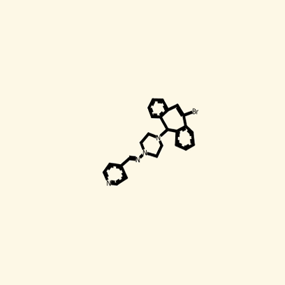 BrC1=Cc2ccccc2C(N2CCN(N=Cc3ccncc3)CC2)c2ccccc21